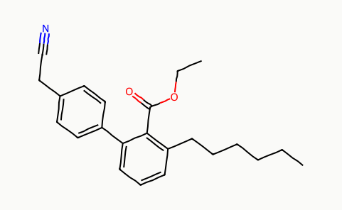 CCCCCCc1cccc(-c2ccc(CC#N)cc2)c1C(=O)OCC